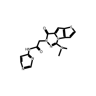 CN(C)c1nn(CC(=O)Nc2ccncn2)c(=O)c2cc3sccc3n12